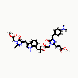 CC1=N/C(=C\c2c[nH]c3c(CC(C)(C)OC(=O)CN4C(=O)/C(=C/c5ccc(N(C)C)cc5)N=C4/C=C/C(=O)OC(C)(C)C)cccc23)C(=O)N1CC(=O)OC(C)(C)C